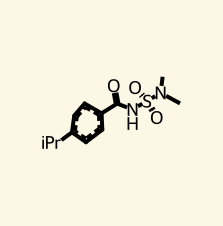 CC(C)c1ccc(C(=O)NS(=O)(=O)N(C)C)cc1